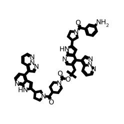 CC(C)(Cc1cnc2[nH]c(C3CCN(C(=O)c4cccc(N)c4)C3)cc2c1-c1cnn2ncccc12)OC(=O)N1CCC(C(=O)N2CCC(c3cc4c(-c5cnn6ncccc56)ccnc4[nH]3)C2)CC1